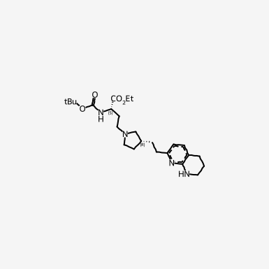 CCOC(=O)[C@H](CCN1CC[C@@H](CCc2ccc3c(n2)NCCC3)C1)NC(=O)OC(C)(C)C